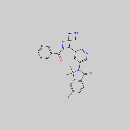 CC1(C)c2cc(Cl)ccc2C(=O)N1c1cncc(C2N(C(=O)c3cncnc3)CC23CNC3)c1